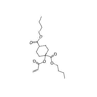 C=CC(=O)OC1(C(=O)OCCCC)CCC(C(=O)OCCCC)CC1